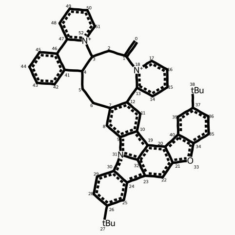 C=C1CC2C(CCc3cc4c(cc3-c3cccc[n+]31)c1c3c(cc5c6cc(C(C)(C)C)ccc6n4c51)oc1ccc(C(C)(C)C)cc13)c1ccccc1-c1cccc[n+]12